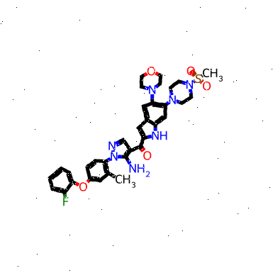 Cc1cc(Oc2ccccc2F)ccc1-n1ncc(C(=O)c2cc3cc(N4CCOCC4)c(N4CCN(S(C)(=O)=O)CC4)cc3[nH]2)c1N